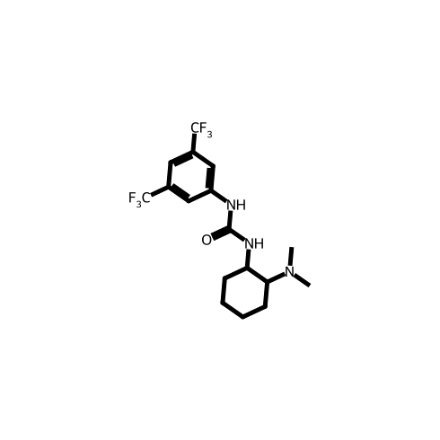 CN(C)C1CCCCC1NC(=O)Nc1cc(C(F)(F)F)cc(C(F)(F)F)c1